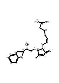 CC1=CC(=O)[C@H](C/C=C\CCCC(=O)O)[C@H]1CC[C@@H](O)c1cc2ccccc2s1